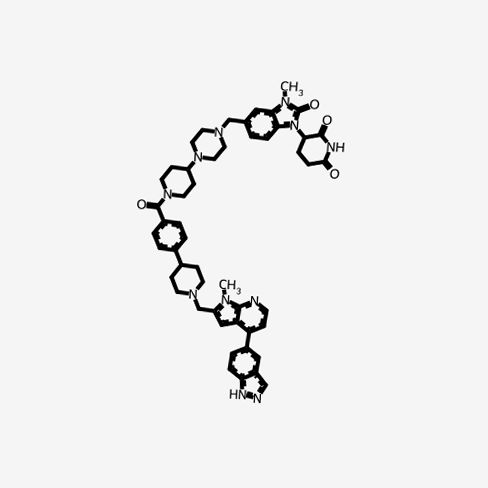 Cn1c(CN2CCC(c3ccc(C(=O)N4CCC(N5CCN(Cc6ccc7c(c6)n(C)c(=O)n7C6CCC(=O)NC6=O)CC5)CC4)cc3)CC2)cc2c(-c3ccc4[nH]ncc4c3)ccnc21